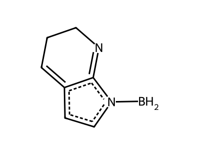 Bn1ccc2c1=NCCC=2